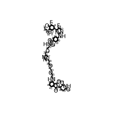 CC(C)N1CCOc2c(F)cc(-c3nc(Nc4ccc(S(=O)(=O)NCCOCc5cn(CCOCCOCCNc6cccc7c6C(=O)N(C6CCC(=O)NC6=O)C7=O)nn5)cc4)ncc3F)cc21